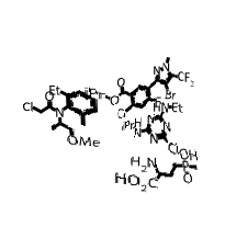 CC(C)OC(=O)c1cc(-c2nn(C)c(C(F)(F)F)c2Br)c(F)cc1Cl.CCNc1nc(Cl)nc(NC(C)C)n1.CCc1cccc(C)c1N(C(=O)CCl)C(C)COC.CP(=O)(O)CCC(N)C(=O)O